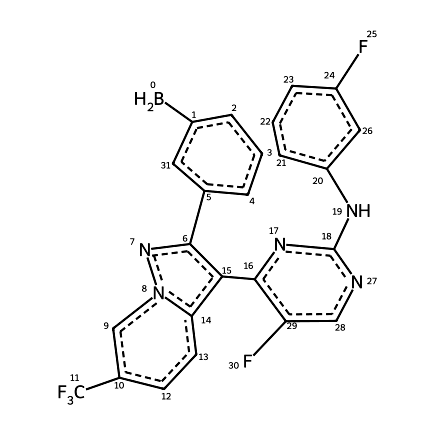 Bc1cccc(-c2nn3cc(C(F)(F)F)ccc3c2-c2nc(Nc3cccc(F)c3)ncc2F)c1